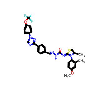 COc1ccc(N2/C(=N/C(=O)N/N=C/c3ccc(-c4ncn(-c5ccc(OC(F)(F)F)cc5)n4)cc3)SCC2C)c(C)c1